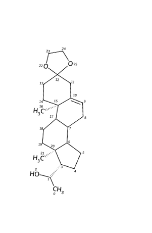 CC(O)[C@H]1CCC2C3CC=C4CC5(CC[C@]4(C)C3CC[C@@]21C)OCCO5